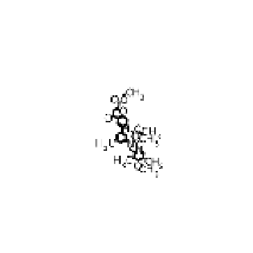 CCOC(=O)c1cc(=O)c2cc(-c3cc(C)cc(N(Cc4ncc(C)c(OC)c4C)C(=O)OC(C)(C)C)c3)ccc2o1